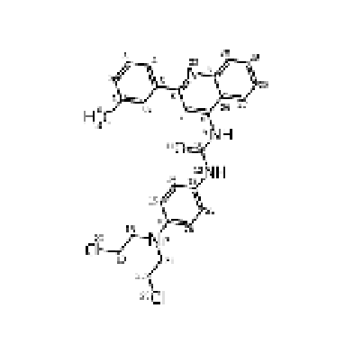 Cc1cccc(-c2cc(NC(=O)Nc3ccc(N(CCCl)CCCl)cc3)c3ccccc3n2)c1